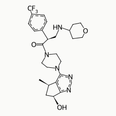 C[C@@H]1C[C@H](O)c2ncnc(N3CCN(C(=O)[C@H](CNC4CCOCC4)c4ccc(C(F)(F)F)cc4)CC3)c21